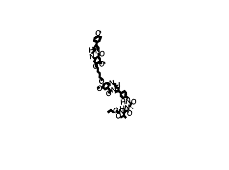 C=CCOC(=O)N[C@H](C(=O)N[C@@H](C)C(=O)NCc1ccc(C2=CN3C(=O)c4cc(OC)c(OCCCCCOc5cc6c(cc5OC)C(=O)N5C=C(c7ccc(OC)cc7)C[C@H]5C=N6)cc4N=C[C@@H]3C2)cc1)C(C)C